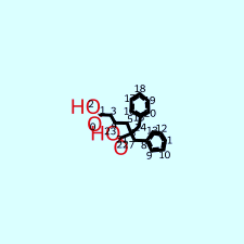 O=C(O)CCCC(Cc1ccccc1)(Cc1ccccc1)C(=O)O